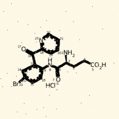 Cl.N[C@@H](CCC(=O)O)C(=O)Nc1ccc(Br)cc1C(=O)c1ccccn1